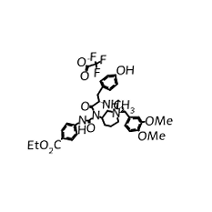 CCOC(=O)c1ccc(NC(=O)N(C(=O)[C@@H](N)Cc2ccc(O)cc2)C2CCC[N+](C)(Cc3ccc(OC)c(OC)c3)C2)cc1.O=C([O-])C(F)(F)F